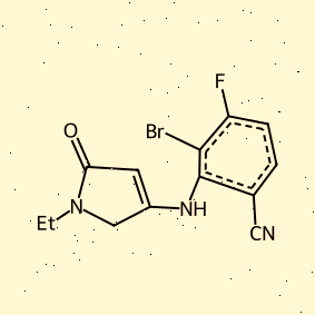 CCN1CC(Nc2c(C#N)ccc(F)c2Br)=CC1=O